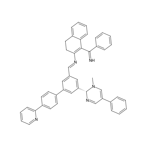 CN1C=C(c2ccccc2)C=N[C@@H]1c1cc(/C=N/C2=C(C(=N)c3ccccc3)c3ccccc3CC2)cc(-c2ccc(-c3ccccn3)cc2)c1